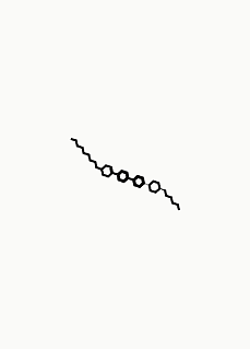 CCCCCCCCCC1CC=C(c2ccc(-c3ccc([C@H]4CC[C@H](CCCCCC)CC4)cc3)cc2)CC1